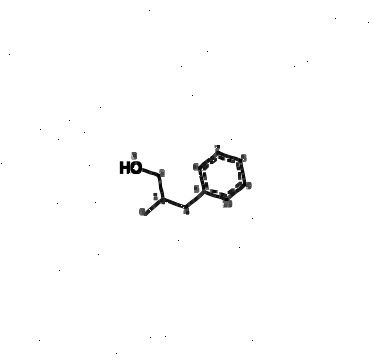 C[C](CO)Cc1ccccc1